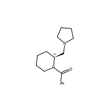 CC(C)C(=O)N1CCCC[C@H]1CN1CCCC1